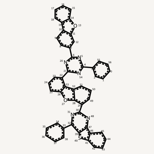 c1ccc(-c2nc(-c3ccc4c(c3)oc3ccccc34)nc(-c3cccc4oc5c(-c6nc(-c7ccccc7)c7sc8ccccc8c7n6)cccc5c34)n2)cc1